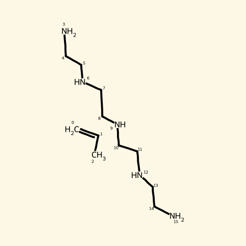 C=CC.NCCNCCNCCNCCN